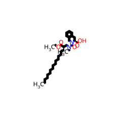 CCCCCCCCCCCCCCCC[C@H](CN(CC)C(=O)N1Cc2ccccc2C[C@H]1C(=O)O)C(=O)OCC